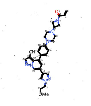 C=CC(=O)N1CC(N2CCN(c3ccc(-c4cc(-c5cnn(CCOC)c5)cn5ncc(C#N)c45)cc3)CC2)C1